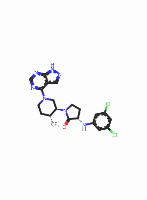 O=C1[C@@H](Nc2cc(Cl)cc(Cl)c2)CCN1[C@@H]1CN(c2ncnc3[nH]ncc23)CC[C@H]1C(F)(F)F